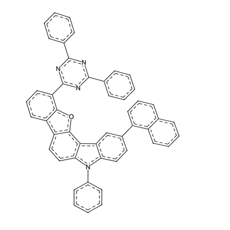 c1ccc(-c2nc(-c3ccccc3)nc(-c3cccc4c3oc3c4ccc4c3c3cc(-c5cccc6ccccc56)ccc3n4-c3ccccc3)n2)cc1